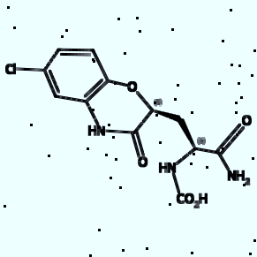 NC(=O)[C@H](C[C@@H]1Oc2ccc(Cl)cc2NC1=O)NC(=O)O